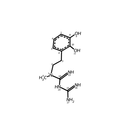 CN(CCc1cccc(O)c1O)C(=N)NC(=N)N